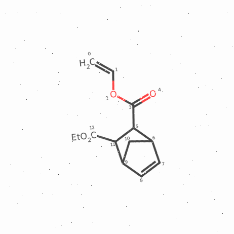 C=COC(=O)C1C2C=CC(C2)C1C(=O)OCC